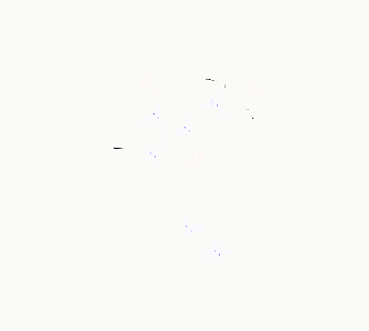 CNc1ccc(C(=O)CN2c3nc(N4C[C@@H]5C[C@H]4CO5)cc(=O)n3C[C@@]2(C)C(F)(F)F)cn1